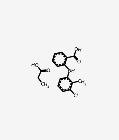 CCC(=O)O.Cc1c(Cl)cccc1Nc1ccccc1C(=O)O